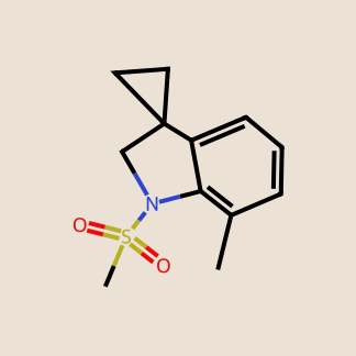 Cc1cccc2c1N(S(C)(=O)=O)CC21CC1